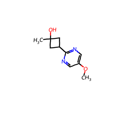 COc1cnc(C2CC(C)(O)C2)nc1